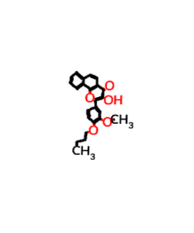 CCCCOc1ccc(-c2oc3c(ccc4ccccc43)c(=O)c2O)cc1OC